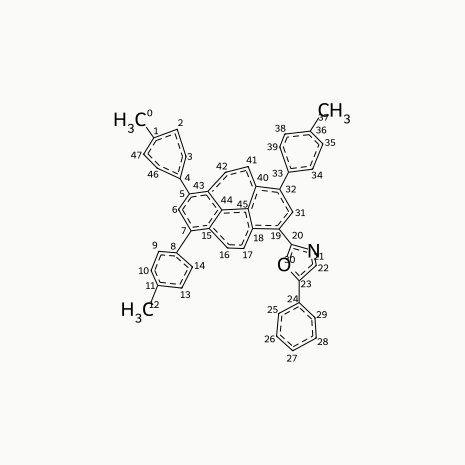 Cc1ccc(-c2cc(-c3ccc(C)cc3)c3ccc4c(-c5ncc(-c6ccccc6)o5)cc(-c5ccc(C)cc5)c5ccc2c3c54)cc1